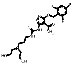 NC(=O)c1c(OCc2c(F)cc(F)cc2F)nsc1NC(=O)NCCCN(CCO)CCO